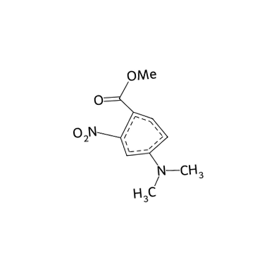 COC(=O)c1ccc(N(C)C)cc1[N+](=O)[O-]